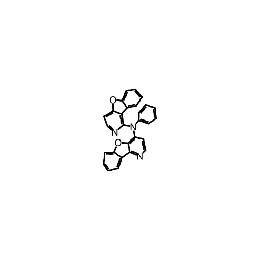 c1ccc(N(c2ccnc3c2oc2ccccc23)c2nccc3oc4ccccc4c23)cc1